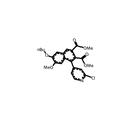 CCCCOc1cc2cc(C(=O)OC)c(C(=O)OC)c(-c3ccnc(Cl)c3)c2cc1OC